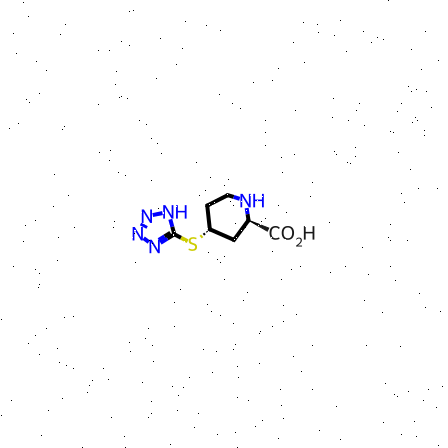 O=C(O)[C@H]1C[C@H](Sc2nnn[nH]2)CCN1